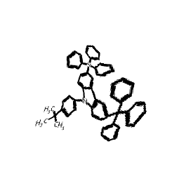 CC(C)(C)c1ccc(-n2c3ccc(C(c4ccccc4)(c4ccccc4)c4ccccc4)cc3c3cc([Si](c4ccccc4)(c4ccccc4)c4ccccc4)ccc32)cc1